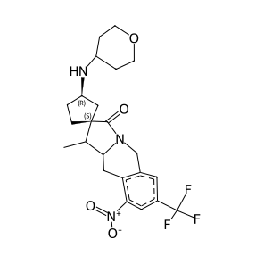 CC1C2Cc3c(cc(C(F)(F)F)cc3[N+](=O)[O-])CN2C(=O)[C@]12CC[C@@H](NC1CCOCC1)C2